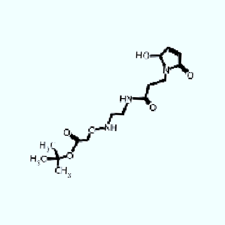 CC(C)(C)OC(=O)CONCCNC(=O)CCN1C(=O)C=CC1O